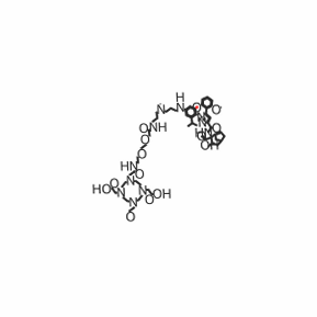 COc1cccc(OC)c1-c1cc(C(=O)NC2(C(=O)O)C3=CCC(C3)CC2C)nn1-c1ccc(NCCCN(C)CCCNC(=O)COCCOCCNC(=O)CN2CCN(CC(=O)O)CCN(CC=O)CCN(CC(=O)O)CC2)cc1C(C)C